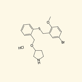 COc1ccc(Br)cc1CSc1ccccc1COC1CCNC1.Cl